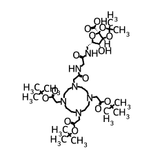 CC(C)(C)OC(=O)CN1CCN(CC(=O)NCC(=O)NC[C@@H]2O[C@@]3(C(=O)O)OC(C)(C)O[C@H]3[C@@H]2O)CCN(CC(=O)OC(C)(C)C)CCN(CC(=O)OC(C)(C)C)CC1